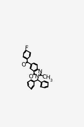 Cc1nc2ccc(C(=O)c3ccc(F)cc3)cc2c(=O)n1C(c1ccccc1)c1ccccc1